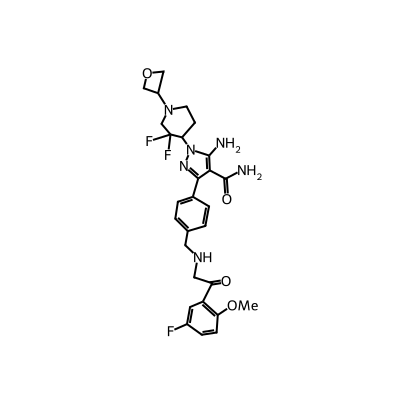 COc1ccc(F)cc1C(=O)CNCc1ccc(-c2nn(C3CCN(C4COC4)CC3(F)F)c(N)c2C(N)=O)cc1